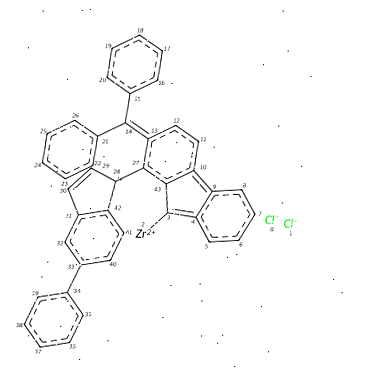 [Cl-].[Cl-].[Zr+2][C]1=c2ccccc2=c2ccc(=C(c3ccccc3)c3ccccc3)c(C3C=Cc4cc(-c5ccccc5)ccc43)c21